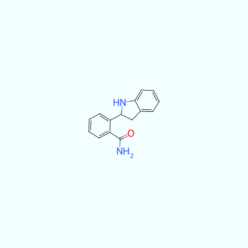 NC(=O)c1ccccc1C1Cc2ccccc2N1